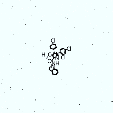 C[C@H]1C(C(=O)NN2CCc3ccccc32)=NN(c2ccc(Cl)cc2Cl)[C@@H]1c1ccc(Cl)cc1